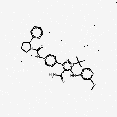 COc1cc(Nc2c(C(N)=O)c(-c3ccc(NC(=O)N4CCC[C@H]4c4ccccc4)cc3)nn2C(C)(C)C)ccn1